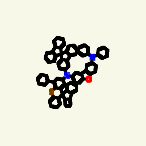 c1ccc(-c2cc(N(c3ccc4c(c3)-c3ccccc3C43c4ccccc4-c4ccccc43)c3ccc4oc5ccc(N(c6ccccc6)c6ccccc6)cc5c4c3)cc3c2Sc2ccccc2C32c3ccccc3-c3ccccc32)cc1